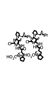 CC(C)N(C)C[C@@H]1CCCN1c1nc(Cl)nc(NNC(=O)[C@@H](CNC(=O)O)CC2CCCC2)c1F.CC(C)N(C)C[C@@H]1CCCN1c1nc(Cl)nc(NNC(=O)[C@@H](CNC(=O)O)CC2CCCC2)c1F